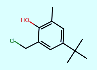 Cc1cc(C(C)(C)C)cc(CCl)c1O